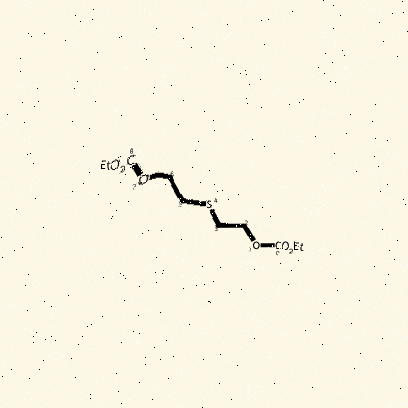 CCOC(=O)OCCSCCOC(=O)OCC